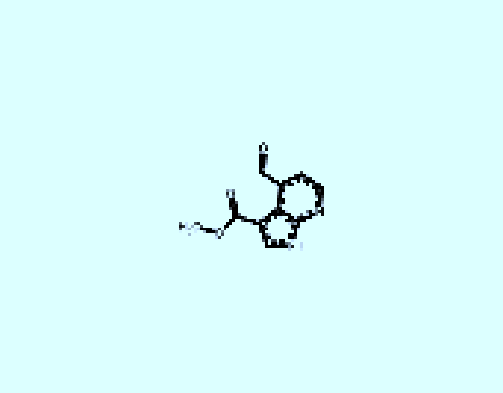 COC(=O)c1c[nH]c2nccc(C=O)c12